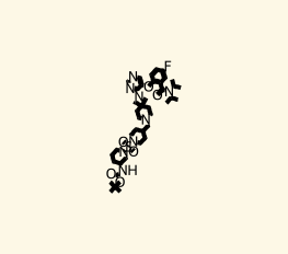 CC(C)N(C(=O)c1cc(F)ccc1Oc1cncnc1N1CC2(CCN(CC3CCN(S(=O)(=O)N4CCC[C@@H](NC(=O)OC(C)(C)C)C4)CC3)CC2)C1)C(C)C